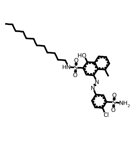 CCCCCCCCCCCCNS(=O)(=O)c1cc(/N=N/c2ccc(Cl)c(S(N)(=O)=O)c2)c2c(C)cccc2c1O